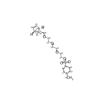 Cc1ccc(S(=O)(=O)OCCOCCOCCOC[C@H]2C[C@@H]3C=C[C@@H]2C3)cc1